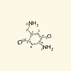 NCc1cc(Cl)c(N)cc1Cl